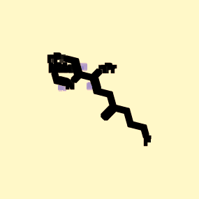 C=C(C/C=C(CCC)/C(=C/CCC)/N=C\NC)CCCF